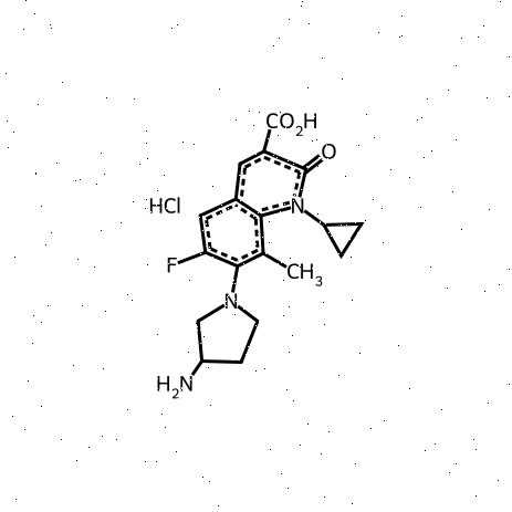 Cc1c(N2CCC(N)C2)c(F)cc2cc(C(=O)O)c(=O)n(C3CC3)c12.Cl